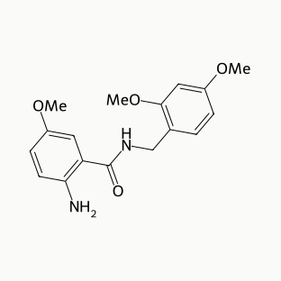 COc1ccc(CNC(=O)c2cc(OC)ccc2N)c(OC)c1